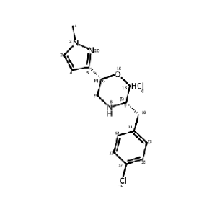 Cl.Cn1ccc([C@H]2CN[C@@H](Cc3ccc(Cl)cc3)CO2)n1